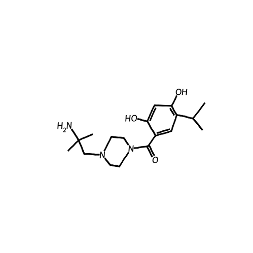 CC(C)c1cc(C(=O)N2CCN(CC(C)(C)N)CC2)c(O)cc1O